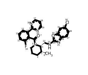 C[C@@H]1CCCN(C(=O)c2c(F)cccc2-c2ncccn2)[C@@H]1CNc1nc2ccc(Cl)cc2o1